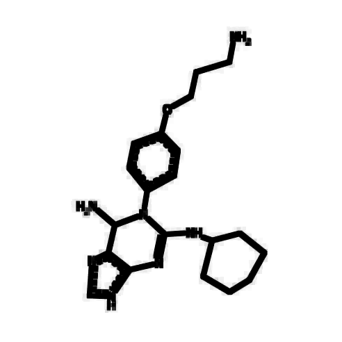 NCCCOc1ccc(N2C(NC3CCCCC3)=Nc3[nH]cnc3C2N)cc1